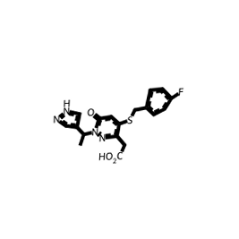 CC(c1cn[nH]c1)n1nc(CC(=O)O)c(SCc2ccc(F)cc2)cc1=O